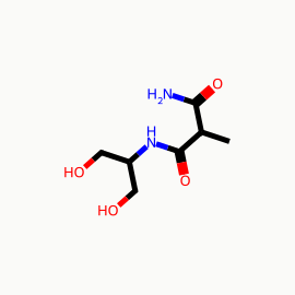 C[C](C(N)=O)C(=O)NC(CO)CO